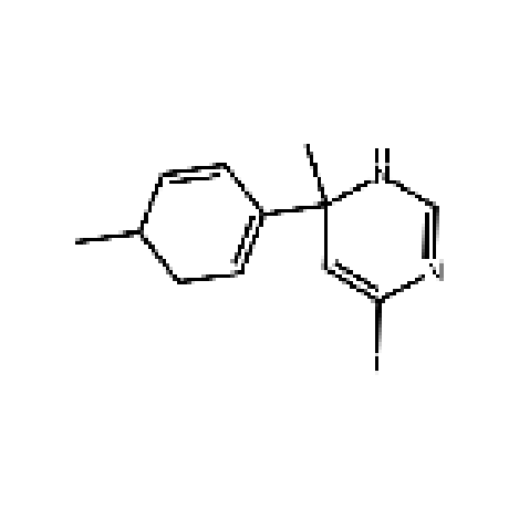 CC1C=CC(C2(C)C=C(I)N=CN2)=CC1